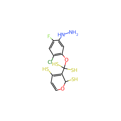 NNc1cc(OC(S)(S)C2=C(S)C=COC2S)c(Cl)cc1F